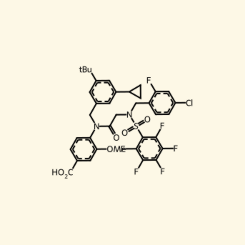 COc1cc(C(=O)O)ccc1N(Cc1cc(C2CC2)cc(C(C)(C)C)c1)C(=O)CN(Cc1ccc(Cl)cc1F)S(=O)(=O)c1c(F)c(F)c(F)c(F)c1F